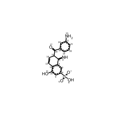 N=C1c2cc(S(=O)(=O)O)cc(O)c2C=CC1C(=O)c1cccc(N)c1